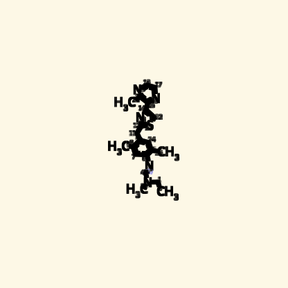 CCN(C)/C=N/c1cc(C)c(Cc2nc(-c3nccnc3C)cs2)cc1C